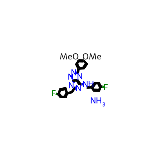 COc1ccc(-c2nnc3nc(Cc4ccc(F)cc4)nc(NCc4ccc(F)cc4)c3n2)cc1OC.N